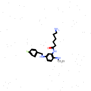 CCOC(=O)Nc1ccc(NCc2ccc(F)cc2)cc1NC(=O)CCCCCN